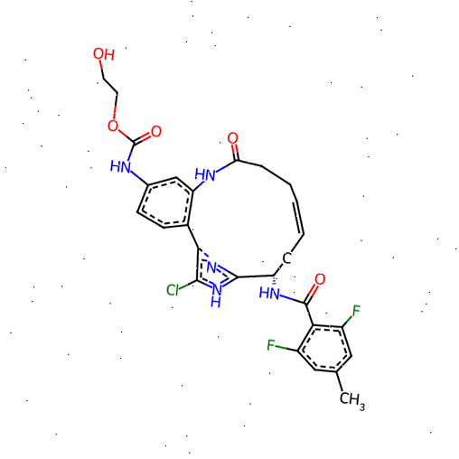 Cc1cc(F)c(C(=O)N[C@H]2CC=CCCC(=O)Nc3cc(NC(=O)OCCO)ccc3-c3nc2[nH]c3Cl)c(F)c1